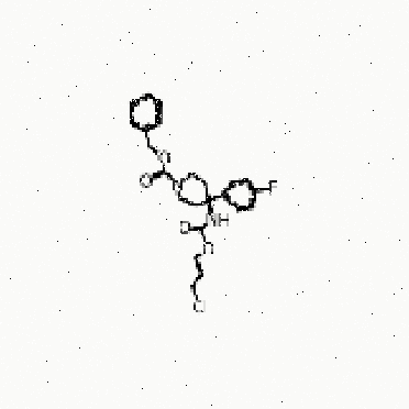 O=C(NC1(c2ccc(F)cc2)CCN(C(=O)OCc2ccccc2)CC1)OCCCCl